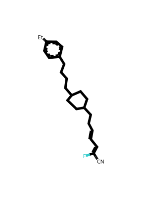 CCc1ccc(CCCCC2CCC(CCC=CC=C(F)C#N)CC2)cc1